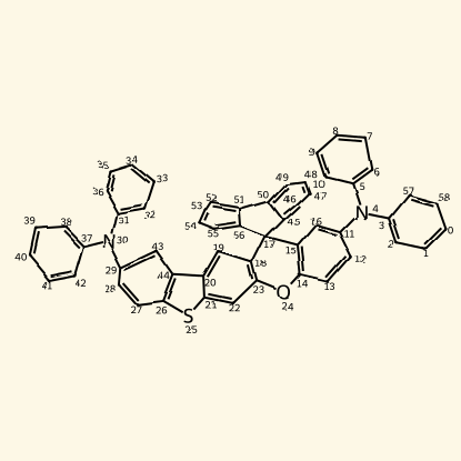 c1ccc(N(c2ccccc2)c2ccc3c(c2)C2(c4cc5c(cc4O3)sc3ccc(N(c4ccccc4)c4ccccc4)cc35)c3ccccc3-c3ccccc32)cc1